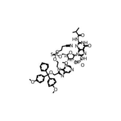 COc1ccc(C(OCc2nc3cncnc3n2CCOP(=S)(OCCC#N)OC[C@H]2O[C@@H](n3cnc4c(=O)[nH]c(NC(=O)C(C)C)nc43)[C@H](O[PH](=O)O)[C@@H]2OC)(c2ccccc2)c2ccc(OC)cc2)cc1